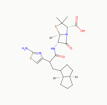 CC1(C)S[C@@H]2[C@@H](NC(=O)C(CC3CC[C@H]4CCC[C@@H]34)c3csc(N)n3)C(=O)N2[C@H]1C(=O)O